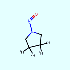 [2H]C1([2H])CN(N=O)CC1([2H])[2H]